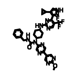 COc1ncc(-c2cnc(N(C(=O)NCc3ccccc3)[C@H]3CC[C@H](Nc4ncc(C(F)(F)F)c(-c5n[nH]cc5C5CC5)n4)CC3)cn2)cn1